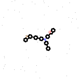 c1ccc(-c2ccc(N(c3ccc(-c4ccc(-c5ccc6sc7ccccc7c6c5)cc4)cc3)c3ccc(-c4cc5ccccc5o4)cc3)cc2)cc1